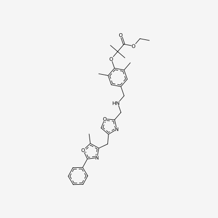 CCOC(=O)C(C)(C)Oc1c(C)cc(CNCc2nc(Cc3nc(-c4ccccc4)oc3C)co2)cc1C